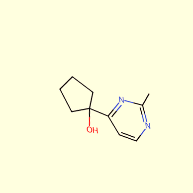 Cc1nccc(C2(O)CCCC2)n1